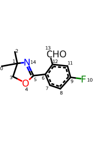 CC1(C)COC(c2ccc(F)cc2C=O)=N1